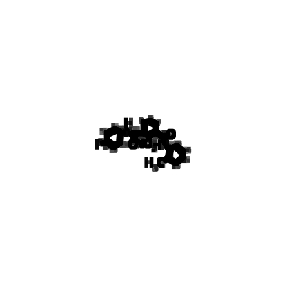 CC1=C(NC(=O)c2cccc(C(=O)Nc3ccc(F)cc3)c2[N+](=O)[O-])C=CCC1